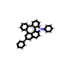 c1ccc(-c2cc3c4c(ccc5c4c4c(cccc4n5-c4ccccc4)-c4ccccc4-3)c2)cc1